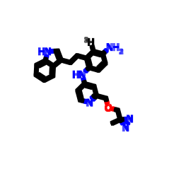 [3H]c1c(N)ccc(Nc2ccnc(COCC3(C)N=N3)c2)c1CCc1c[nH]c2ccccc12